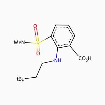 CNS(=O)(=O)c1cccc(C(=O)O)c1NCCC(C)(C)C